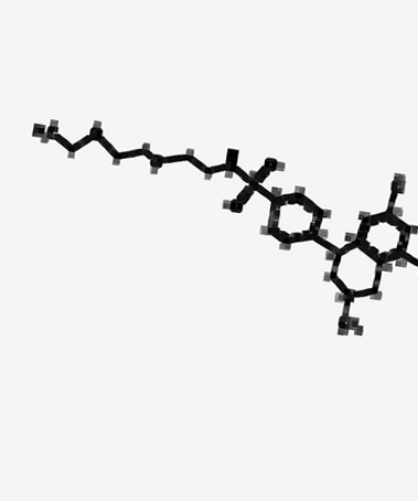 CCOCCOCCNS(=O)(=O)c1ccc(C2CN(C)Cc3c(Cl)cc(Cl)cc32)cc1